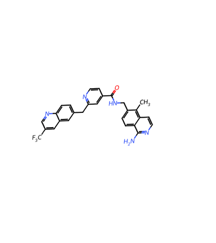 Cc1c(CNC(=O)c2ccnc(Cc3ccc4ncc(C(F)(F)F)cc4c3)c2)ccc2c(N)nccc12